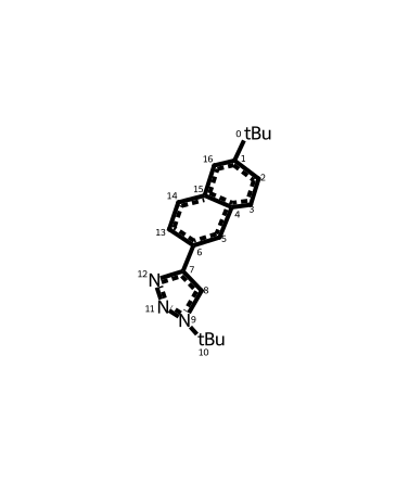 CC(C)(C)c1ccc2cc(-c3cn(C(C)(C)C)nn3)ccc2c1